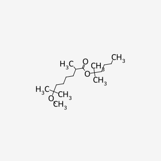 CCCCC(C)(C)OC(=O)C(C)CCCCC(C)(C)OC